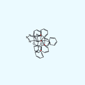 c1ccc(B(OC2(C(c3ccccc3)(c3ccccc3)c3ccccc3)N=NN=N2)OC2(C(c3ccccc3)(c3ccccc3)c3ccccc3)N=NN=N2)cc1